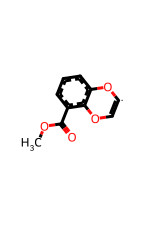 COC(=O)c1cccc2c1OC=[C]O2